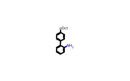 CCCCCCCCc1ccc(-c2ccccc2N)cc1